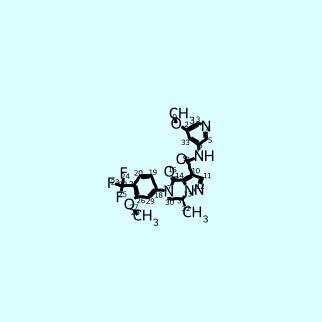 COc1cncc(NC(=O)c2cnn3c2C(=O)N(c2ccc(C(F)(F)F)c(OC)c2)C[C@@H]3C)c1